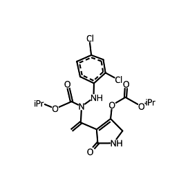 C=C(C1=C(OC(=O)OC(C)C)CNC1=O)N(Nc1ccc(Cl)cc1Cl)C(=O)OC(C)C